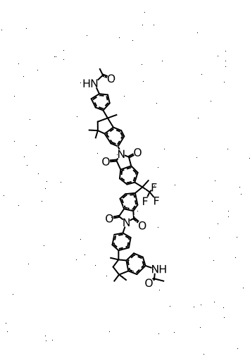 CC(=O)Nc1ccc(C2(C)CC(C)(C)c3cc(N4C(=O)c5ccc(C(C)(c6ccc7c(c6)C(=O)N(c6ccc(C8(C)CC(C)(C)c9cc(NC(C)=O)ccc98)cc6)C7=O)C(F)(F)F)cc5C4=O)ccc32)cc1